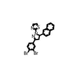 Brc1ccc(C2=NN(c3nccs3)C(c3ccc4ccccc4c3)C2)cc1Br